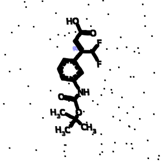 CC(C)(C)OC(=O)Nc1cccc(/C(=C/C(=O)O)C(F)F)c1